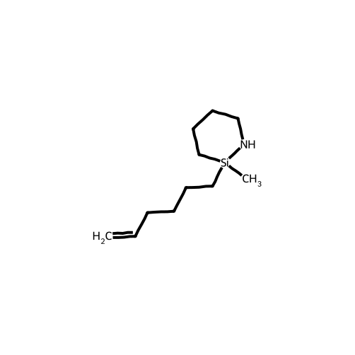 C=CCCCC[Si]1(C)CCCCN1